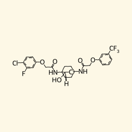 O=C(COc1cccc(C(F)(F)F)c1)NC12CCC(NC(=O)COc3ccc(Cl)c(F)c3)(CC1)[C@@H](O)C2